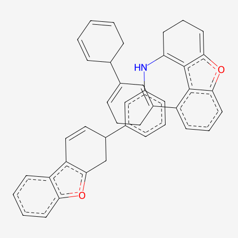 C1=CCC(C2=CCCC(c3cccc4oc5c(c34)=C(Nc3cccc(C4C=Cc6c(oc7ccccc67)C4)c3)CCC=5)=C2)C=C1